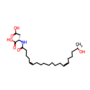 C[C@H](O)CCC/C=C\CCCCCCC/C=C\CCCC(=O)N[C@@H](CC(=O)O)C(=O)O